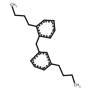 CCCCc1[c]ccc(Cc2ccccc2CCCC)c1